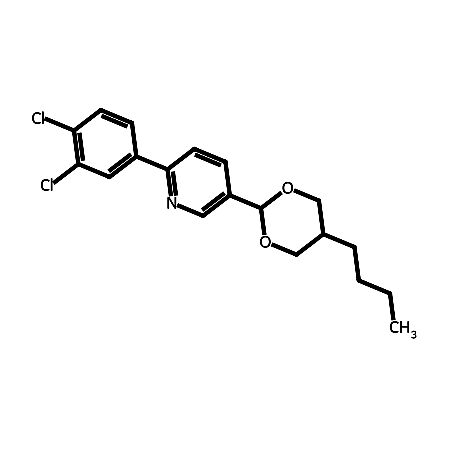 CCCCC1COC(c2ccc(-c3ccc(Cl)c(Cl)c3)nc2)OC1